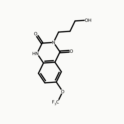 O=c1[nH]c2ccc(OC(F)(F)F)cc2c(=O)n1CCCO